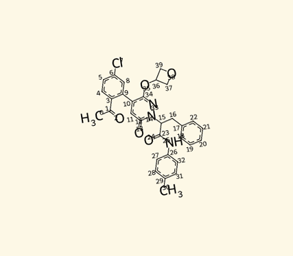 CC(=O)c1ccc(Cl)cc1-c1cc(=O)n(C(Cc2ccccc2)C(=O)Nc2ccc(C)cc2)nc1OC1COC1